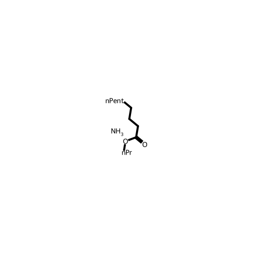 CCCCCCCCC(=O)OCCC.N